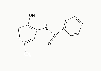 Cc1ccc(O)c(NC(=O)c2ccncc2)c1